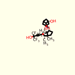 C[C@H](CC#CC(O)(C(F)(F)F)C(F)(F)F)[C@@]1(C)CC[C@@H](/C=C/C2C3C[C@@H](O)C[C@]2(O)C3)C1(C)C